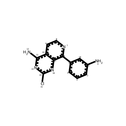 Nc1cccc(-c2nccc3c(N)nc(Cl)nc23)c1